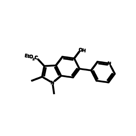 CCOC(=O)c1c(C)n(C)c2cc(-c3cccnc3)c(O)cc12